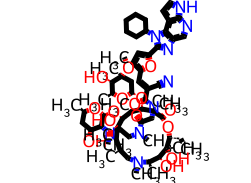 CC[C@H]1OC(=O)[C@H](C)[C@@H](O[C@H]2C[C@@](C)(OC)[C@@H](O)[C@H](C)O2)[C@H](C)[C@@H](O[C@@H]2O[C@H](C)CC(O)C2N(C)CCN(C)C(=O)CN(C)C(=O)/C(C#N)=C/c2ccc(-c3nc4cnc5[nH]ccc5c4n3C3CCCCC3)o2)[C@](C)(O)C[C@@H](C)CN(C)[C@H](C)[C@@H](O)[C@]1(C)O